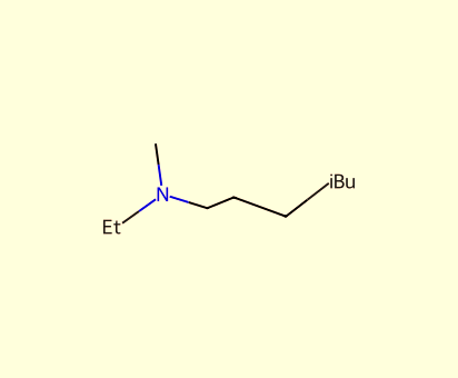 CCC(C)CCCN(C)CC